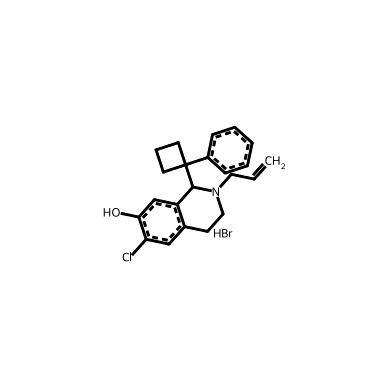 Br.C=CCN1CCc2cc(Cl)c(O)cc2C1C1(c2ccccc2)CCC1